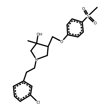 CC1(O)CN(CCc2cccc(Cl)c2)CC1COc1ccc(S(C)(=O)=O)cc1